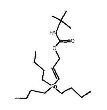 CCC[CH2][Sn]([CH]=CCOC(=O)NC(C)(C)C)([CH2]CCC)[CH2]CCC